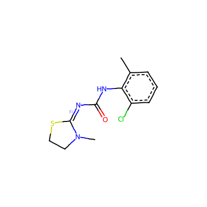 Cc1cccc(Cl)c1NC(=O)/N=C1/SCCN1C